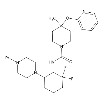 CC(C)N1CCN(C2CCCC(F)(F)C2NC(=O)N2CCC(C)(Oc3ccccn3)CC2)CC1